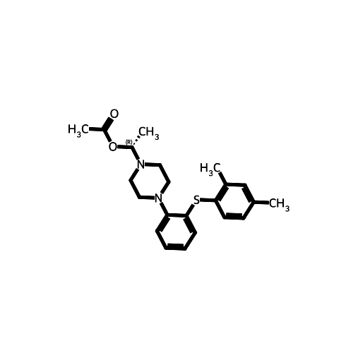 CC(=O)O[C@H](C)N1CCN(c2ccccc2Sc2ccc(C)cc2C)CC1